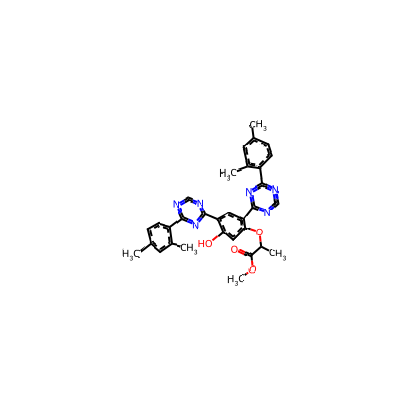 COC(=O)C(C)Oc1cc(O)c(-c2ncnc(-c3ccc(C)cc3C)n2)cc1-c1ncnc(-c2ccc(C)cc2C)n1